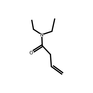 C=CCC(=O)N(CC)CC